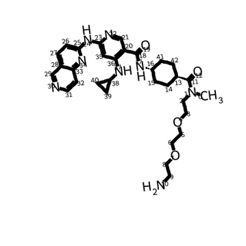 CN(CCOCCOCCN)C(=O)[C@H]1CC[C@H](NC(=O)c2cnc(Nc3ccc4cnccc4n3)cc2NC2CC2)CC1